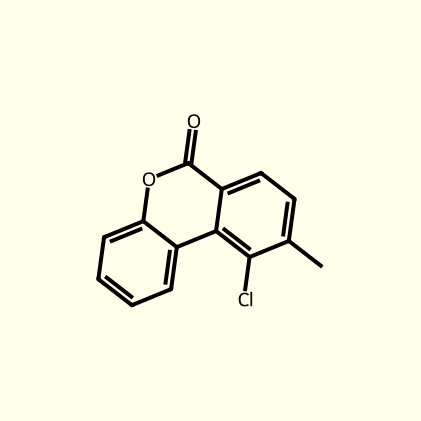 Cc1ccc2c(=O)oc3ccccc3c2c1Cl